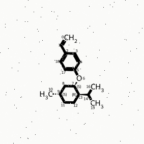 C=Cc1ccc(O[C@H]2C[C@@H](C)CC[C@@H]2C(C)C)cc1